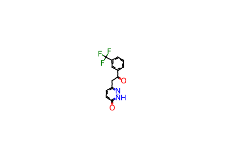 O=C(Cc1ccc(=O)[nH]n1)c1cccc(C(F)(F)F)c1